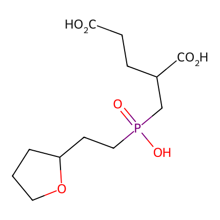 O=C(O)CCC(CP(=O)(O)CCC1CCCO1)C(=O)O